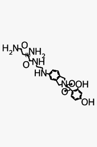 NC(=O)C[C@H](N)C(=O)NCCNc1ccc2c(c1)CN(S(=O)(=O)c1ccc(O)cc1O)C2